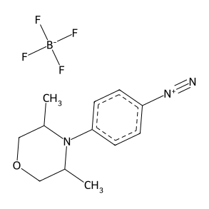 CC1COCC(C)N1c1ccc([N+]#N)cc1.F[B-](F)(F)F